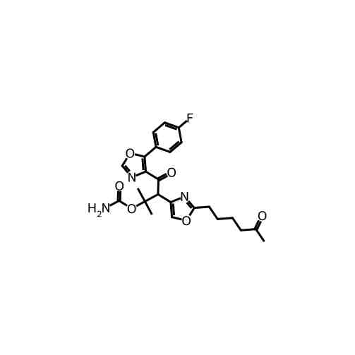 CC(=O)CCCCc1nc(C(C(=O)c2ncoc2-c2ccc(F)cc2)C(C)(C)OC(N)=O)co1